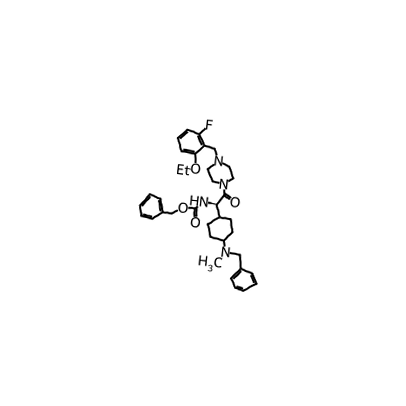 CCOc1cccc(F)c1CN1CCN(C(=O)[C@H](NC(=O)OCc2ccccc2)C2CCC(N(C)Cc3ccccc3)CC2)CC1